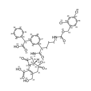 O=C(NCCCC(C(=O)N[C@H]1C(=O)N2C(C(=O)O)=C(CO)CS(=O)(=O)[C@@H]12)c1cccc(C(C(=O)O)c2ccccc2)c1)OCc1ccc(Cl)cc1Cl